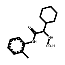 Cc1ccccc1NC(=O)C(NC(=O)O)C1CCCCC1